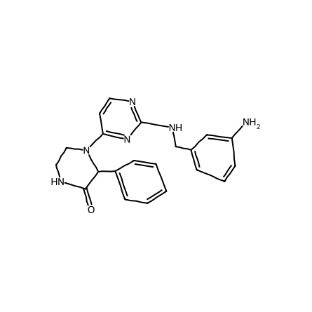 Nc1cccc(CNc2nccc(N3CCNC(=O)C3c3ccccc3)n2)c1